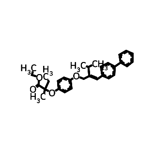 CCOC(=O)C(C)(CC)Oc1ccc(OC/C(=C/c2ccc(-c3ccccc3)cc2)C(C)C)cc1